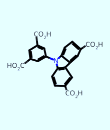 O=C(O)c1cc(C(=O)O)cc(-n2c3ccc(C(=O)O)cc3c3cc(C(=O)O)ccc32)c1